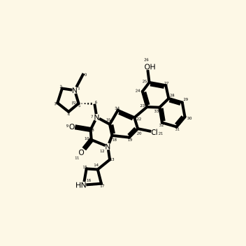 CN1CCC[C@H]1Cn1c(=O)c(=O)n(CC2CNC2)c2cc(Cl)c(-c3cc(O)cc4ccccc34)cc21